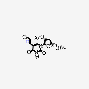 CC(=O)OC[C@H]1C[C@@H](OC(C)=O)[C@H](n2cc(/C=C/Cl)c(=O)[nH]c2=O)O1